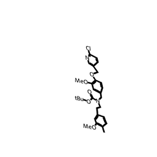 COc1cc(CCN(Cc2ccc(OCc3ccc(Cl)nc3)c(OC)c2)C(=O)OC(C)(C)C)ccc1C